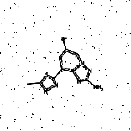 Cc1nnc(-c2cc(Br)cn3nc(N)nc23)s1